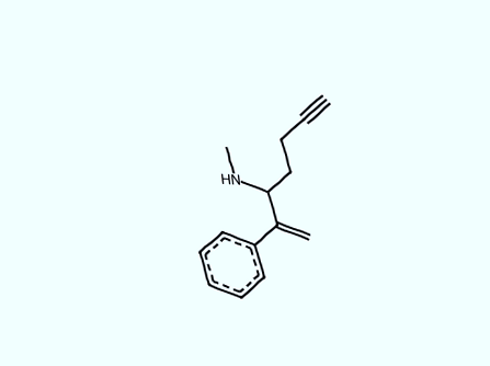 C#CCCC(NC)C(=C)c1ccccc1